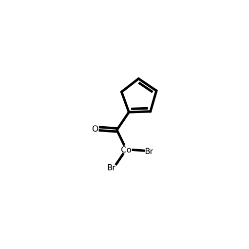 O=[C](C1=CC=CC1)[Co]([Br])[Br]